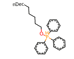 CCCCCCCCCCCCCCCO[PH](c1ccccc1)(c1ccccc1)c1ccccc1